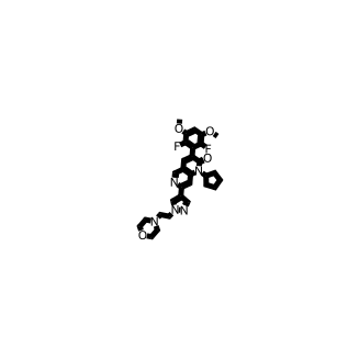 COc1cc(OC)c(F)c(-c2cc3cnc(-c4cnn(CCN5CCOCC5)c4)cc3n(C3CCCC3)c2=O)c1F